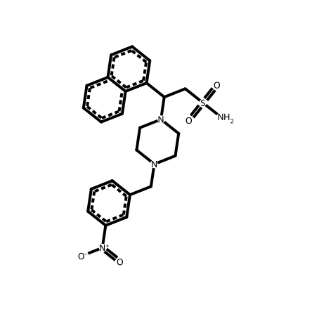 NS(=O)(=O)CC(c1cccc2ccccc12)N1CCN(Cc2cccc([N+](=O)[O-])c2)CC1